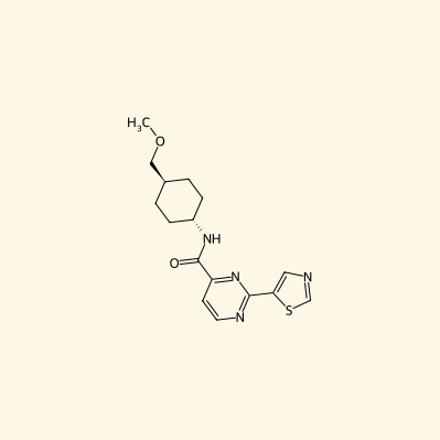 COC[C@H]1CC[C@H](NC(=O)c2ccnc(-c3cncs3)n2)CC1